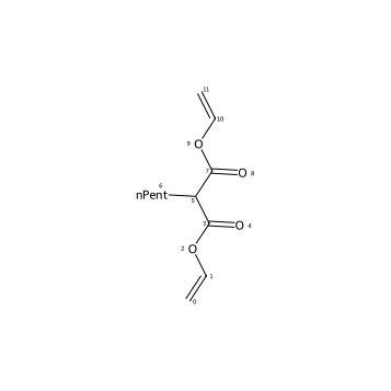 C=COC(=O)C(CCCCC)C(=O)OC=C